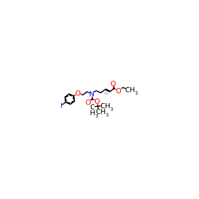 CCOC(=O)/C=C/CCN(CCOc1ccc(I)cc1)C(=O)OC(C)(C)C